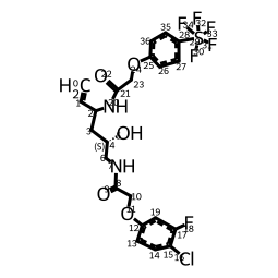 C=CC(C[C@H](O)CNC(=O)COc1ccc(Cl)c(F)c1)NC(=O)COc1ccc(S(F)(F)(F)(F)F)cc1